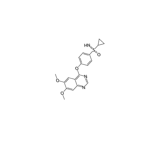 COc1cc2ncnc(Oc3ccc(S(=N)(=O)C4CC4)cc3)c2cc1OC